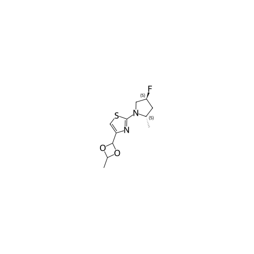 CC1OC(c2csc(N3C[C@@H](F)C[C@@H]3C)n2)O1